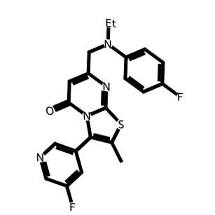 CCN(Cc1cc(=O)n2c(-c3cncc(F)c3)c(C)sc2n1)c1ccc(F)cc1